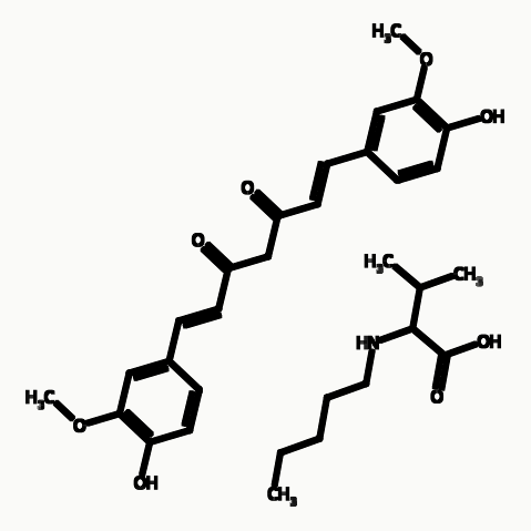 CCCCCNC(C(=O)O)C(C)C.COc1cc(/C=C/C(=O)CC(=O)/C=C/c2ccc(O)c(OC)c2)ccc1O